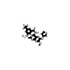 COc1nc2nc(C)nc(N[C@H](C)c3cc(N)cc(C(F)(F)F)c3)c2nc1O[C@H]1CCOC1